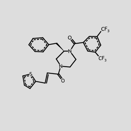 O=C(C=Cc1cccs1)N1CCN(C(=O)c2cc(C(F)(F)F)cc(C(F)(F)F)c2)[C@H](Cc2ccccc2)C1